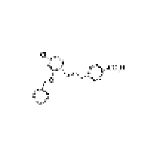 O=C(O)c1ccc(CC=Cc2ccc(Cl)cc2OCc2ccccc2)cc1